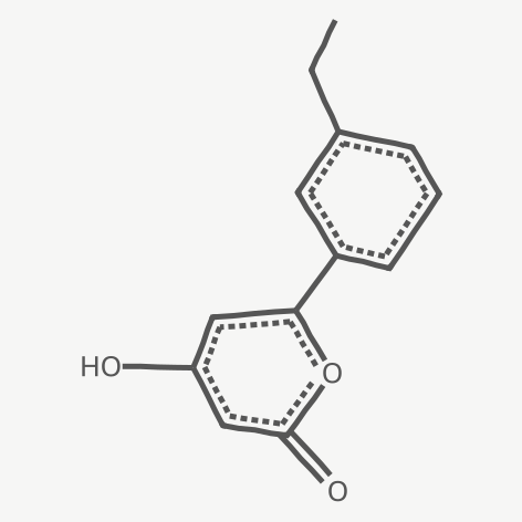 CCc1cccc(-c2cc(O)cc(=O)o2)c1